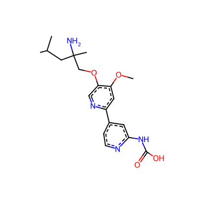 COc1cc(-c2ccnc(NC(=O)O)c2)ncc1OCC(C)(N)CC(C)C